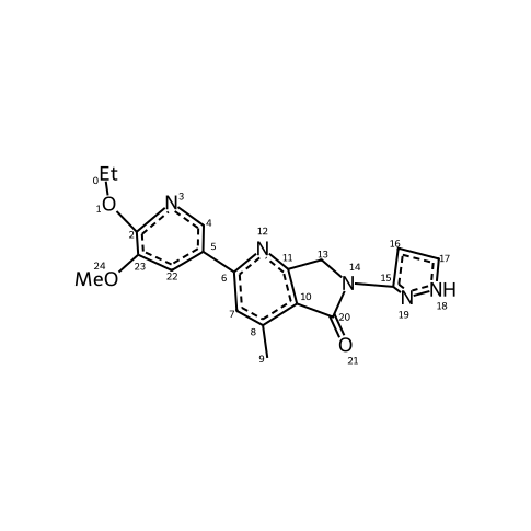 CCOc1ncc(-c2cc(C)c3c(n2)CN(c2cc[nH]n2)C3=O)cc1OC